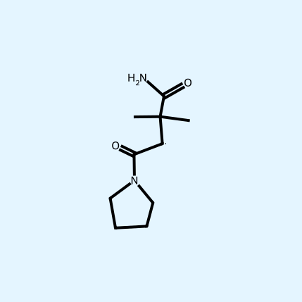 CC(C)([CH]C(=O)N1CCCC1)C(N)=O